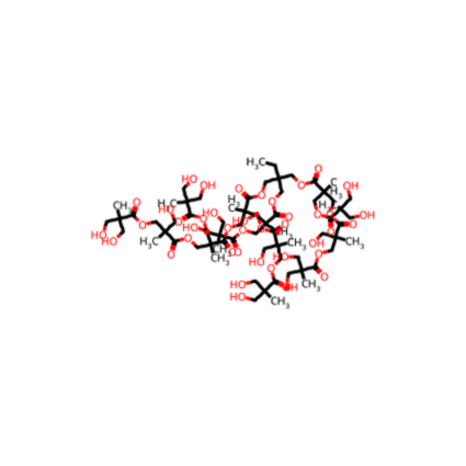 CCC(COC(=O)C(C)(CO)COC(=O)C(C)(CO)COC(=O)C(C)(CO)CO)(COC(=O)C(C)(COC(=O)C(C)(CO)CO)COC(=O)C(C)(CO)COC(=O)C(C)(CO)CO)COC(=O)C(C)(COC(=O)C(C)(CO)COC(=O)C(C)(CO)CO)COC(=O)C(C)(CO)COC(=O)C(C)(CO)COC(=O)C(C)(CO)CO